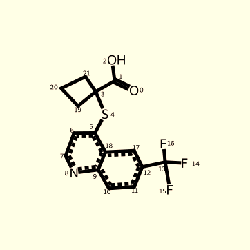 O=C(O)C1(Sc2ccnc3ccc(C(F)(F)F)cc23)CCC1